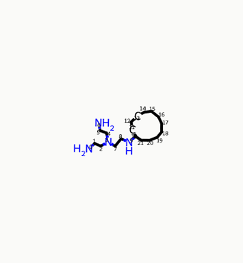 NCCN(CCN)CCNC1CCCCCCCCCCC1